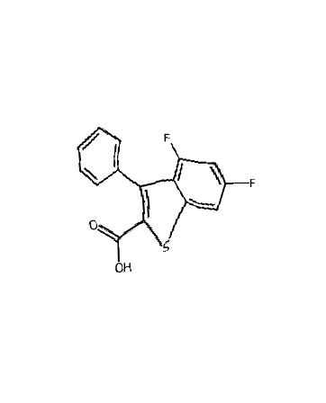 O=C(O)c1sc2cc(F)cc(F)c2c1-c1ccccc1